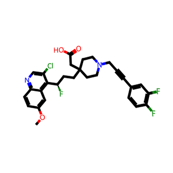 COc1ccc2ncc(Cl)c([C@H](F)CCC3(CC(=O)O)CCN(CC#Cc4ccc(F)c(F)c4)CC3)c2c1